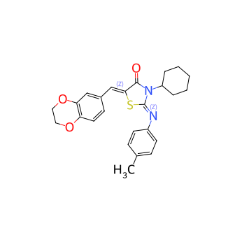 Cc1ccc(/N=C2\S/C(=C\c3ccc4c(c3)OCCO4)C(=O)N2C2CCCCC2)cc1